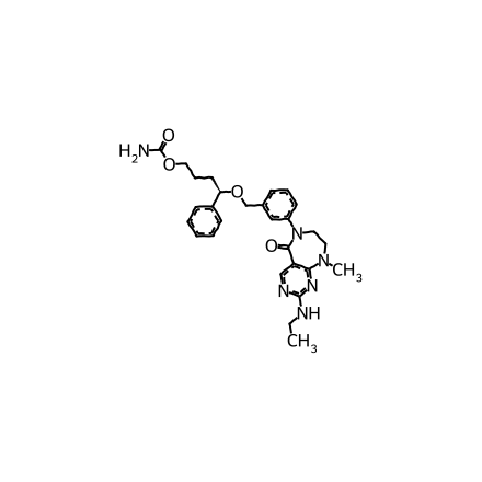 CCNc1ncc2c(n1)N(C)CCN(c1cccc(CO[C@H](CCCOC(N)=O)c3ccccc3)c1)C2=O